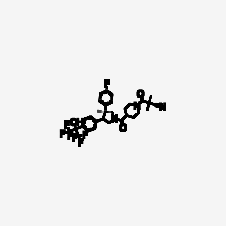 CC(C)(C#N)C(=O)N1CCC(C(=O)N2C[C@@H](c3ccc(C(O)(C(F)(F)F)C(F)(F)F)cc3)[C@@](C)(c3ccc(F)cc3)C2)CC1